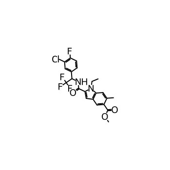 CCn1c(C(=O)NC(c2ccc(F)c(Cl)c2)C(F)(F)F)cc2cc(C(=O)OC)c(C)cc21